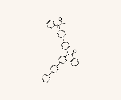 CC(=O)N(c1ccccc1)c1ccc(-c2ccc(N(C(=O)c3ccccc3)c3ccc(-c4ccc(-c5ccccc5)cc4)cc3)cc2)cc1